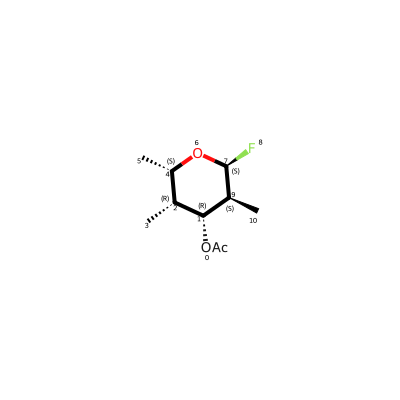 CC(=O)O[C@@H]1[C@H](C)[C@H](C)O[C@@H](F)[C@H]1C